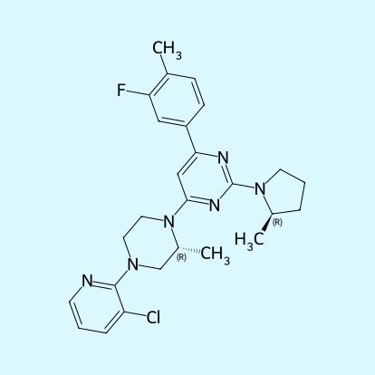 Cc1ccc(-c2cc(N3CCN(c4ncccc4Cl)C[C@H]3C)nc(N3CCC[C@H]3C)n2)cc1F